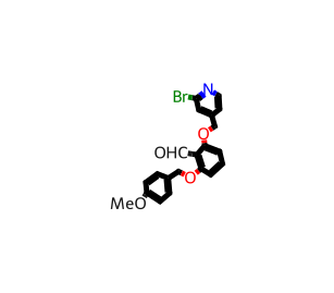 COc1ccc(COc2cccc(OCc3ccnc(Br)c3)c2C=O)cc1